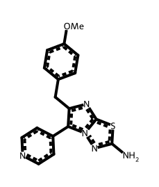 COc1ccc(Cc2nc3sc(N)nn3c2-c2ccncc2)cc1